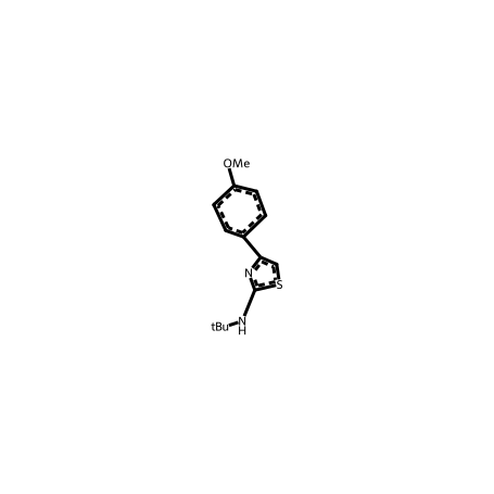 COc1ccc(-c2csc(NC(C)(C)C)n2)cc1